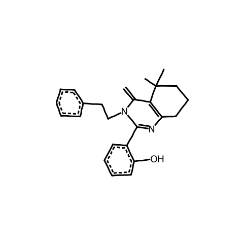 C=C1C2=C(CCCC2(C)C)N=C(c2ccccc2O)N1CCc1ccccc1